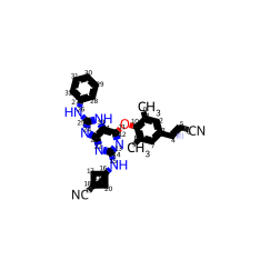 Cc1cc(/C=C/C#N)cc(C)c1Oc1nc(NC23CC(C#N)(C2)C3)nc2nc(Nc3ccccc3)[nH]c12